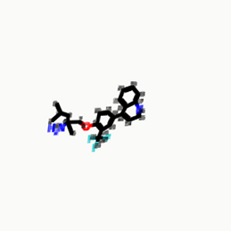 CC(C)CC(C)(N)COc1ccc(-c2ccnc3ccccc23)cc1C(F)(F)F